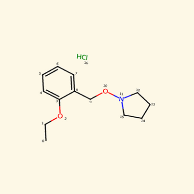 CCOc1ccccc1CON1CCCC1.Cl